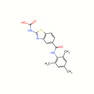 Cc1cc(C)c(NC(=O)c2ccc3sc(NC(=O)O)nc3c2)c(C)c1